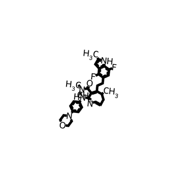 Cc1cc2c(F)c(CC/C3=C(C(=O)N(C)C)/C(Nc4ccc(N5CCOCC5)cc4)=N\C=C\CC3C)cc(F)c2[nH]1